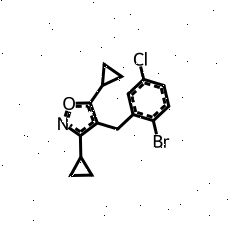 Clc1ccc(Br)c(Cc2c(C3CC3)noc2C2CC2)c1